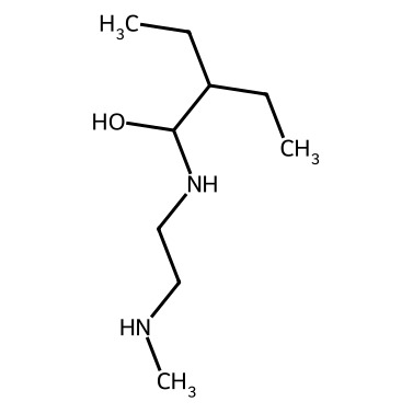 CCC(CC)C(O)NCCNC